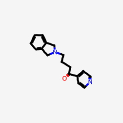 O=C(CCCN1Cc2ccccc2C1)c1ccncc1